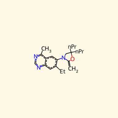 C=C1OC(CCC)(CCC)CN1c1cc2c(C)ncnc2cc1CC